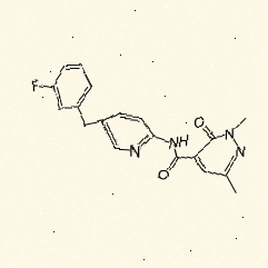 Cc1cc(C(=O)Nc2ccc(Cc3cccc(F)c3)cn2)c(=O)n(C)n1